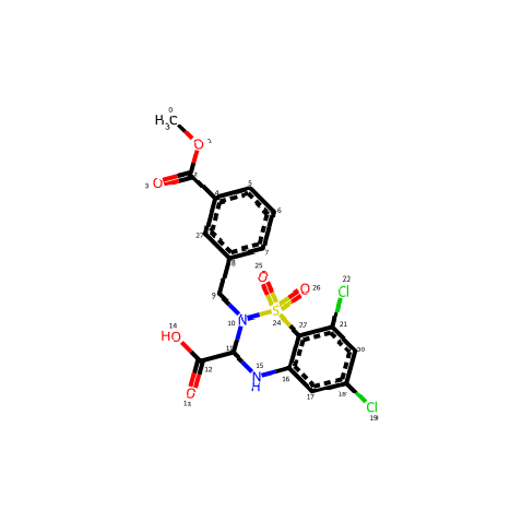 COC(=O)c1cccc(CN2C(C(=O)O)Nc3cc(Cl)cc(Cl)c3S2(=O)=O)c1